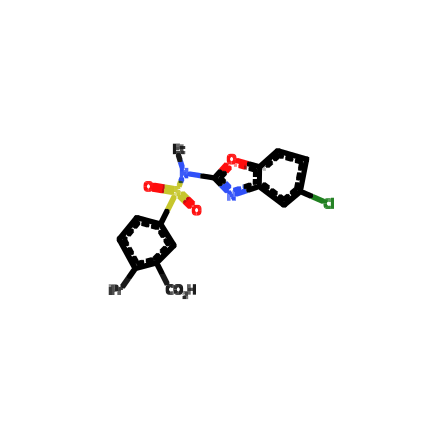 CCN(c1nc2cc(Cl)ccc2o1)S(=O)(=O)c1ccc(C(C)C)c(C(=O)O)c1